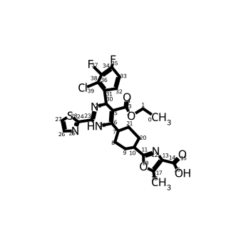 CCOC(=O)C1=C(C2CCC(c3nc(C(=O)O)c(C)o3)CC2)NC(c2nccs2)=NC1c1ccc(F)c(F)c1Cl